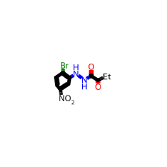 CCC(=O)C(=O)NNc1cc([N+](=O)[O-])ccc1Br